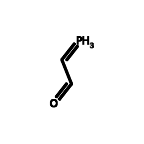 O=CC=[PH3]